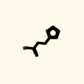 O=C(O)CCc1cscn1